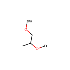 CCOC(C)COC(C)(C)C